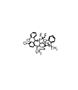 CN(C(=S)NC1N=C(c2ccccc2Cl)c2cc(Cl)ccc2N(C)C1=O)c1ccccc1OC(F)(F)F